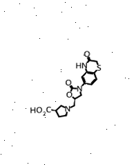 O=C1CSc2ccc(N3C[C@@H](CN4CC[C@@H](C(=O)O)C4)OC3=O)cc2N1